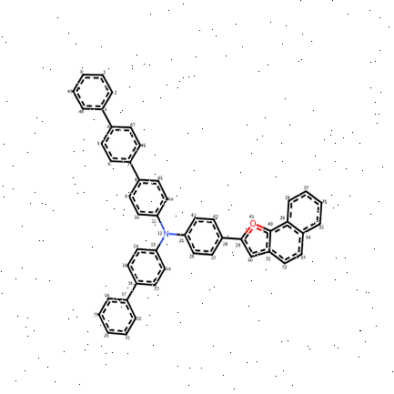 c1ccc(-c2ccc(-c3ccc(N(c4ccc(-c5ccccc5)cc4)c4ccc(-c5cc6ccc7ccccc7c6o5)cc4)cc3)cc2)cc1